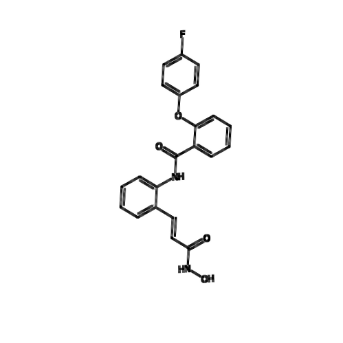 O=C(C=Cc1ccccc1NC(=O)c1ccccc1Oc1ccc(F)cc1)NO